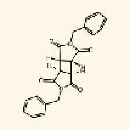 O=C1[C@H]2[C@@H]3C(=O)N(Cc4ccccc4)C(=O)[C@@H]3[C@H]2C(=O)N1Cc1ccccc1